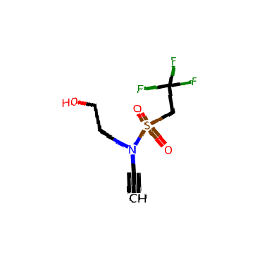 C#CN(CCO)S(=O)(=O)CC(F)(F)F